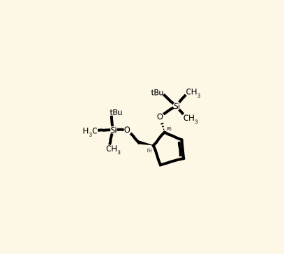 CC(C)(C)[Si](C)(C)OC[C@@H]1CC=C[C@H]1O[Si](C)(C)C(C)(C)C